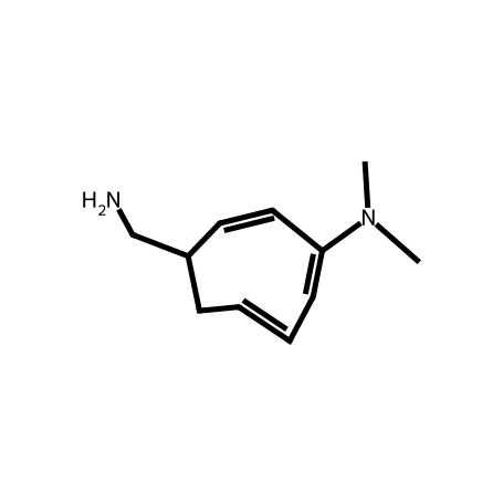 CN(C)C1=C/C=C/CC(CN)/C=C\1